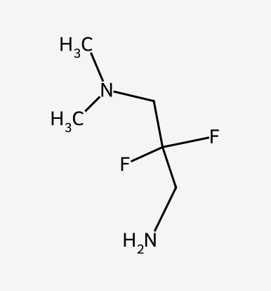 CN(C)CC(F)(F)CN